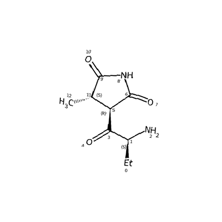 CC[C@H](N)C(=O)[C@@H]1C(=O)NC(=O)[C@H]1C